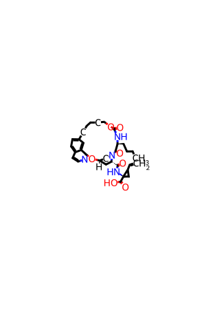 C=CC1C[C@]1(NC(=O)[C@@H]1C[C@@H]2CN1C(=O)[C@H](CCCC)NC(=O)OCCCCCc1ccc3ccnc(c3c1)O2)C(=O)O